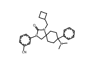 CN(C)C1(c2ccccc2)CCC2(CC1)CN(c1cccc(C#N)c1)C(=O)N2CC1CCC1